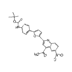 CC(C)(C)OC(=O)Nc1ccc(-c2ccc(-c3cc(C(=O)O)c4cc([N+](=O)[O-])ccc4n3)o2)cc1